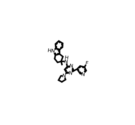 CC1(Nc2cc(N3CCCC3)nc(-c3cncc(F)c3)n2)CCc2[nH]c3ccccc3c2C1